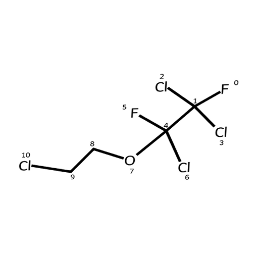 FC(Cl)(Cl)C(F)(Cl)OCCCl